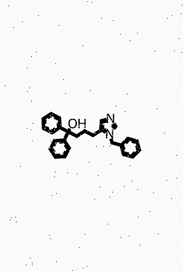 OC(CCCc1cncn1Cc1ccccc1)(c1ccccc1)c1ccccc1